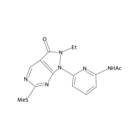 CCn1c(=O)c2cnc(SC)nc2n1-c1cccc(NC(C)=O)n1